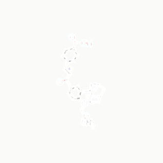 COCOc1ccc(C(=O)/C=C/c2ccc(C(=O)O)cc2)cc1C12CC3CC(CC(C3)C1)C2